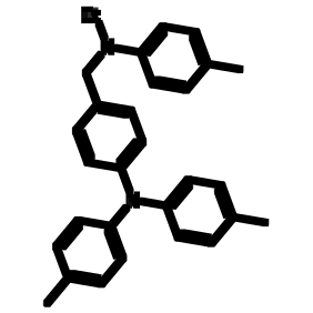 CCN(Cc1ccc(N(c2ccc(C)cc2)c2ccc(C)cc2)cc1)c1ccc(C)cc1